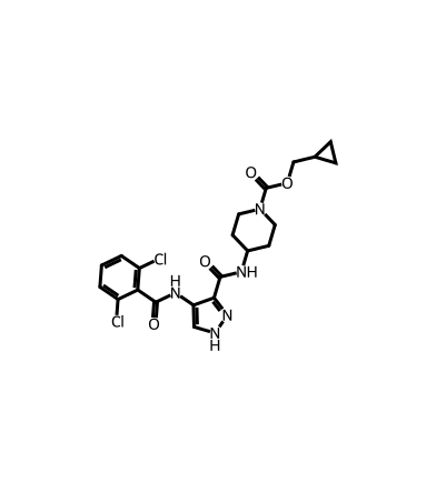 O=C(NC1CCN(C(=O)OCC2CC2)CC1)c1n[nH]cc1NC(=O)c1c(Cl)cccc1Cl